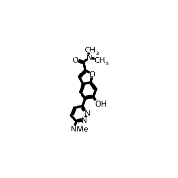 CNc1ccc(-c2cc3cc(C(=O)N(C)C)oc3cc2O)nn1